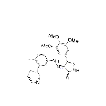 COc1cc(C2=NNC(=O)/C2=N/Nc2ccc(C)c(-c3cccnc3)c2)cc(OC)c1OC